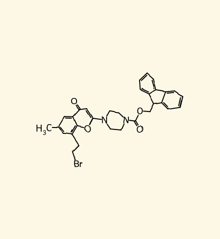 Cc1cc(CCBr)c2oc(N3CCN(C(=O)OCC4c5ccccc5-c5ccccc54)CC3)cc(=O)c2c1